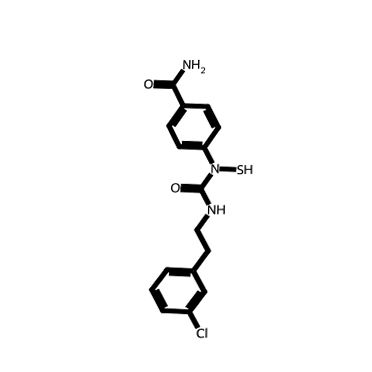 NC(=O)c1ccc(N(S)C(=O)NCCc2cccc(Cl)c2)cc1